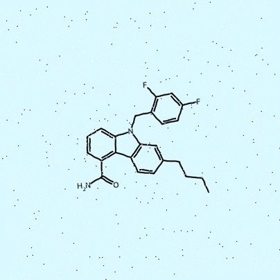 CCCCc1c[c]c2c3c(C(N)=O)cccc3n(Cc3ccc(F)cc3F)c2c1